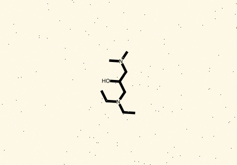 CCN(CC)CC(O)CN(C)C